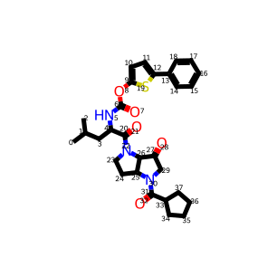 CC(C)CC(NC(=O)Oc1ccc(-c2ccccc2)s1)C(=O)N1CCC2C1C(=O)CN2C(=O)C1CCCC1